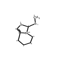 CSC1SC=C2CCCCN21